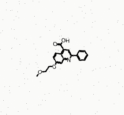 COCCOc1ccc2c(C(=O)O)cc(-c3ccccc3)nc2c1